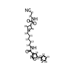 N#CCCNS(=O)(=O)C1CN(CCCCCNC(=O)c2cc(-c3cccs3)on2)C1